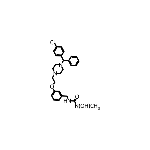 CN(O)C(=O)NCc1cccc(OCCN2CCN(C(c3ccccc3)c3ccc(Cl)cc3)CC2)c1